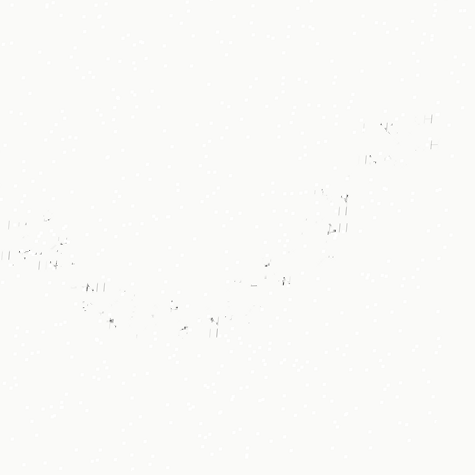 CC(O)[C@H](N)C(=O)NCCNC(=O)c1cc2cc(NC(=O)c3ccc4[nH]c(C(=O)Nc5ccc6[nH]c(C(=O)NCCNC(=O)[C@@H](N)C(C)O)cc6c5)cc4c3)ccc2[nH]1